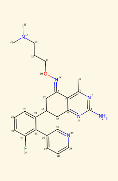 Cc1nc(N)nc2c1C(=NOCCCN(C)C)CC(c1cccc(F)c1-c1cccnc1)C2